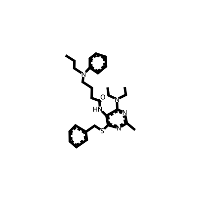 CCCN(CCCC(=O)Nc1c(SCc2ccccc2)nc(C)nc1N(CC)CC)c1ccccc1